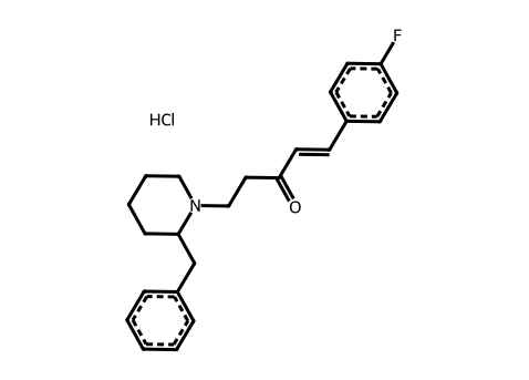 Cl.O=C(C=Cc1ccc(F)cc1)CCN1CCCCC1Cc1ccccc1